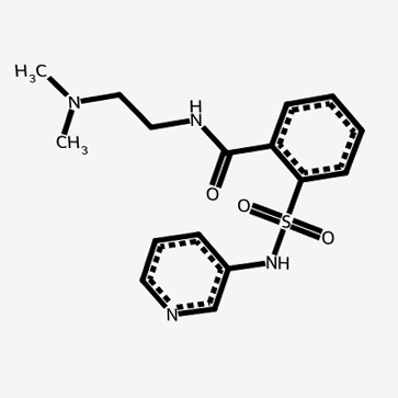 CN(C)CCNC(=O)c1ccccc1S(=O)(=O)Nc1cccnc1